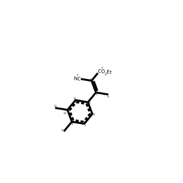 CCOC(=O)C(C#N)=C(C)c1ccc(C)c(C)c1